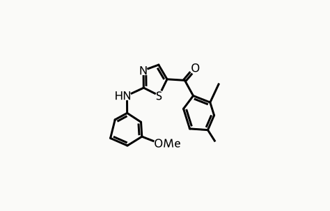 COc1cccc(Nc2ncc(C(=O)c3ccc(C)cc3C)s2)c1